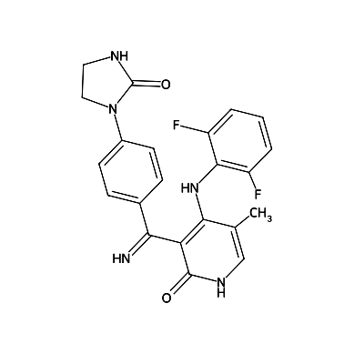 Cc1c[nH]c(=O)c(C(=N)c2ccc(N3CCNC3=O)cc2)c1Nc1c(F)cccc1F